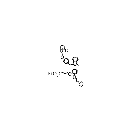 CCOC(=O)CCCOc1cc(-c2sc3ccccc3c2Cc2ccc(OCCN3CCCC3=O)cc2)ccc1OCCN1CCCC1